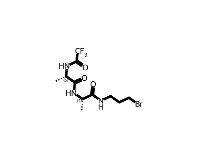 C[C@H](NC(=O)[C@H](C)NC(=O)C(F)(F)F)C(=O)NCCCBr